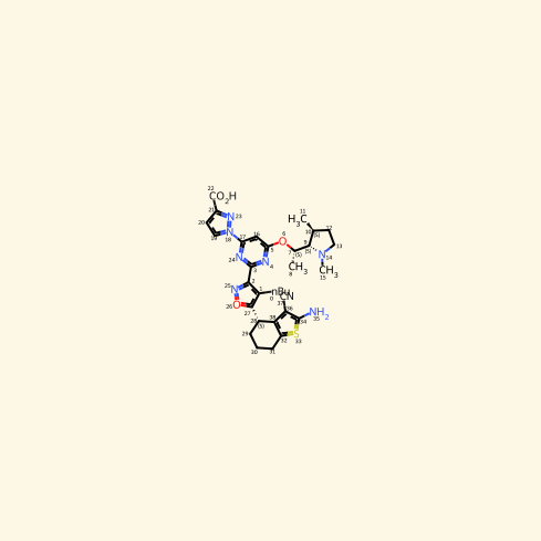 CCCCc1c(-c2nc(O[C@@H](C)[C@@H]3[C@@H](C)CCN3C)cc(-n3ccc(C(=O)O)n3)n2)noc1[C@H]1CCCc2sc(N)c(C#N)c21